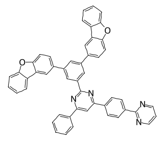 c1ccc(-c2cc(-c3ccc(-c4ncccn4)cc3)nc(-c3cc(-c4ccc5oc6ccccc6c5c4)cc(-c4ccc5oc6ccccc6c5c4)c3)n2)cc1